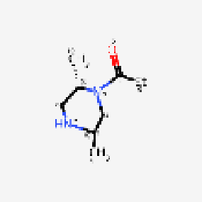 CCC(=O)N1C[C@@H](C)NC[C@@H]1C